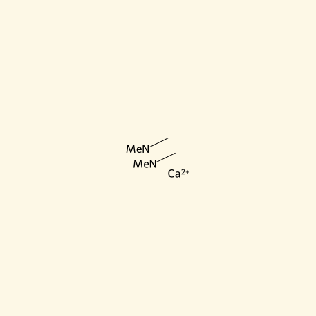 C[N-]C.C[N-]C.[Ca+2]